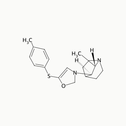 Cc1ccc(SC2=CN([C@@H]3C4CCN(CC4)[C@H]3C)CO2)cc1